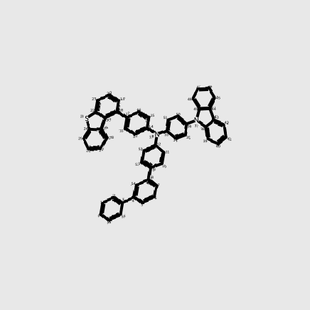 c1ccc(-c2cccc(-c3ccc(N(c4ccc(-c5cccc6sc7ccccc7c56)cc4)c4ccc(-n5c6ccccc6c6ccccc65)cc4)cc3)c2)cc1